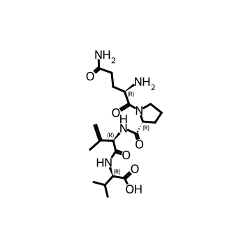 C=C(C)[C@@H](NC(=O)[C@H]1CCCN1C(=O)[C@H](N)CCC(N)=O)C(=O)N[C@@H](C(=O)O)C(C)C